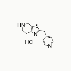 Cl.c1cc(Cc2nc3c(s2)CNCC3)ccn1